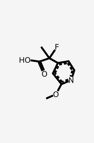 COc1cc(C(C)(F)C(=O)O)ccn1